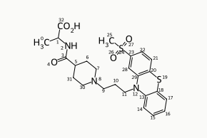 CC(NC(=O)C1CCN(CCCN2c3ccccc3Sc3ccc(S(C)(=O)=O)cc32)CC1)C(=O)O